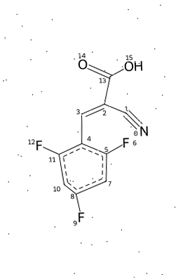 N#C/C(=C\c1c(F)cc(F)cc1F)C(=O)O